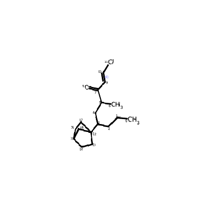 CCCC(CC(C)C(=O)/C=C/Cl)C12CCC(CC1)C2